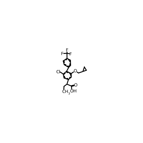 CCC(C(=O)O)c1cc(Cl)c(-c2ccc(C(F)(F)F)cc2)c(OCC2CC2)c1